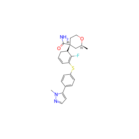 C[C@H]1C[C@@](C(N)=O)(C2CC=CC(Sc3ccc(-c4ccnn4C)cc3)=C2F)CCO1